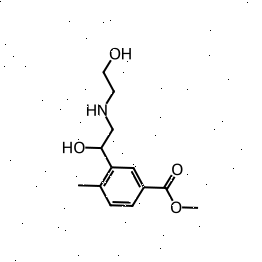 COC(=O)c1ccc(C)c(C(O)CNCCO)c1